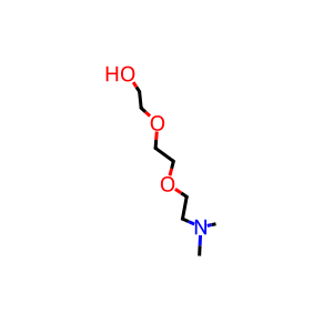 CN(C)CCOCCOCCO